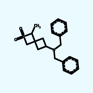 CC1C2(CC(N(Cc3ccccc3)Cc3ccccc3)C2)CS1(=O)=O